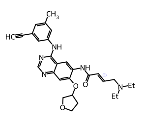 C#Cc1cc(C)cc(Nc2ncnc3cc(OC4CCOC4)c(NC(=O)/C=C/CN(CC)CC)cc23)c1